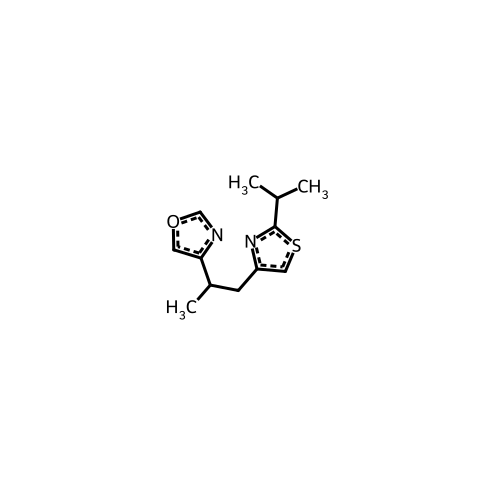 CC(C)c1nc(CC(C)c2cocn2)cs1